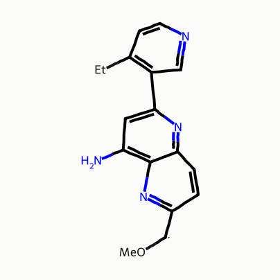 CCc1ccncc1-c1cc(N)c2nc([CH]OC)ccc2n1